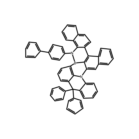 c1ccc(-c2ccc(N3B4c5cccc6c5N(c5ccccc5C6(c5ccccc5)c5ccccc5)c5cc6ccccc6c(c54)-c4ccc5ccccc5c43)cc2)cc1